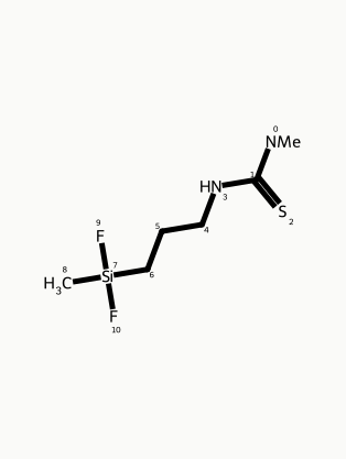 CNC(=S)NCCC[Si](C)(F)F